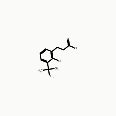 CC(C)(C)c1cccc(CCC(=O)O)c1Cl